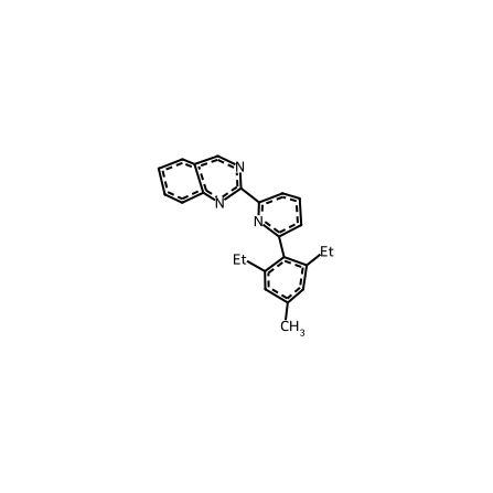 CCc1cc(C)cc(CC)c1-c1cccc(-c2ncc3ccccc3n2)n1